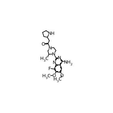 COc1cc2c(N)nc(N3CCN(C(=O)CC4CCCN4)CC3C)nc2c(F)c1OC